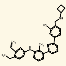 C=Cc1cc(Nc2cccc(-c3cccc(-c4ccc(CNC5CCC5)c(S)n4)c3)c2C)ccc1CC